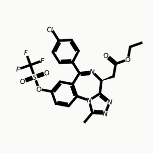 CCOC(=O)C[C@@H]1N=C(c2ccc(Cl)cc2)c2cc(OS(=O)(=O)C(F)(F)F)ccc2-n2c(C)nnc21